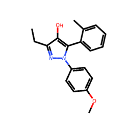 CCc1nn(-c2ccc(OC)cc2)c(-c2ccccc2C)c1O